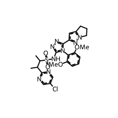 COc1cccc(OC)c1-n1c(NS(=O)(=O)C(C)C(C)c2ncc(Cl)cn2)nnc1-c1cc2n(n1)CCC2